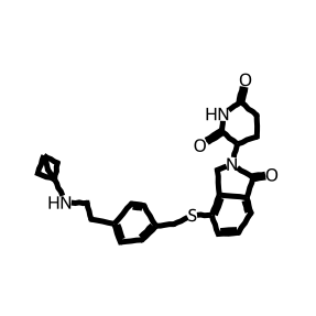 O=C1CCC(N2Cc3c(SCc4ccc(CCNC56CC(C5)C6)cc4)cccc3C2=O)C(=O)N1